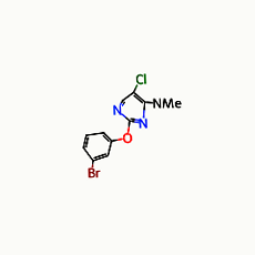 CNc1nc(Oc2cccc(Br)c2)ncc1Cl